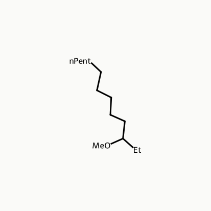 CCCCCCCCCCC(CC)OC